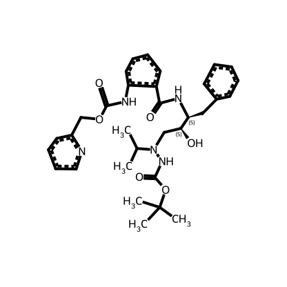 CC(C)N(C[C@H](O)[C@H](Cc1ccccc1)NC(=O)c1ccccc1NC(=O)OCc1ccccn1)NC(=O)OC(C)(C)C